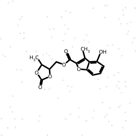 Cc1c(C(=O)OCC2OC(=O)OC2C)oc2cccc(O)c12